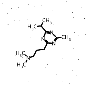 Cc1nc(CCCN(C)C)nc(C(C)C)n1